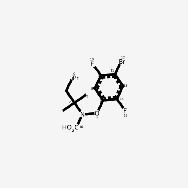 CC(C)CC(C)(C)N(Oc1cc(F)c(Br)cc1F)C(=O)O